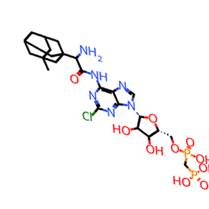 CC12CC3CC(C1)CC(C(N)C(=O)Nc1nc(Cl)nc4c1ncn4[C@@H]1O[C@H](COP(=O)(O)CP(=O)(O)O)C(O)C1O)(C3)C2